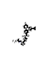 C[C@H](/C=C/n1cnnc1-c1nc(NC(=O)c2cc(-n3cnc(C4CC4)c3)c(N3CCC(F)CC3)cn2)cs1)C(F)(F)F